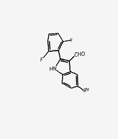 CC(C)c1ccc2[nH]c(-c3c(F)cccc3F)c(C=O)c2c1